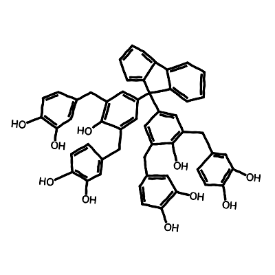 Oc1ccc(Cc2cc(C3(c4cc(Cc5ccc(O)c(O)c5)c(O)c(Cc5ccc(O)c(O)c5)c4)c4ccccc4-c4ccccc43)cc(Cc3ccc(O)c(O)c3)c2O)cc1O